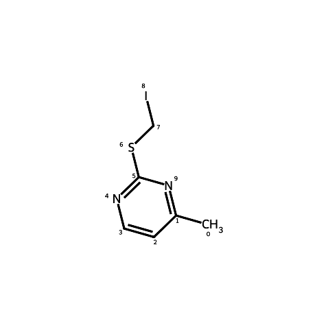 Cc1ccnc(SCI)n1